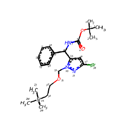 CC(C)(C)OC(=O)NC(c1ccccc1)c1cc(Br)nn1COCC[Si](C)(C)C